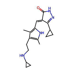 Cc1[nH]c(C=C2C(=O)NN=C2C2CC2)c(C)c1CCNC1CC1